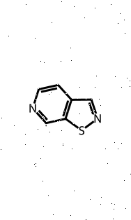 [c]1nccc2cnsc12